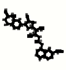 COc1ccc2nccc(CNC[C@@H](O)[C@H](O)[C@H]3CN(c4ccc5c(c4)NC(=O)CS5)C(=O)O3)c2n1